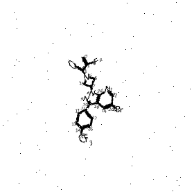 C=C(F)C(=O)N1CC(n2nc(-c3ccc(C(F)(F)F)cc3)c3cc(Br)cnc32)C1